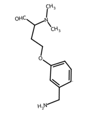 CN(C)C(C=O)CCOc1cc[c]c(CN)c1